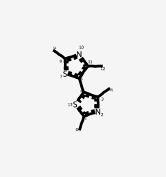 Cc1nc(C)c(-c2sc(C)nc2C)s1